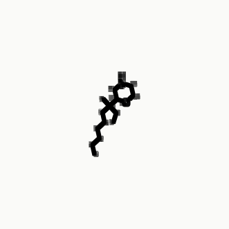 CCCCCCC(C)(CC)C1CNCCO1